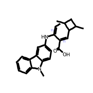 C/C=C(Nc1ccc2c(c1)c1ccccc1n2C)\C(=C/C1C(C)CC1C)C(=O)O